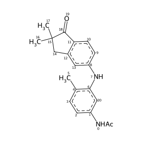 CC(=O)Nc1ccc(C)c(Nc2ccc3c(c2)CC(C)(C)C3=O)c1